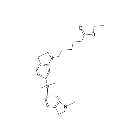 CCOC(=O)CCCCCN1CCc2ccc([Si](C)(C)c3ccc4c(c3)N(C)CC4)cc21